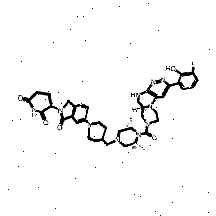 C[C@@H]1CN(CC2CCN(c3ccc4c(c3)C(=O)N(C3CCC(=O)NC3=O)C4)CC2)C[C@H](C)N1C(=O)N1CCN2c3cc(-c4cccc(F)c4O)nnc3NC[C@H]2C1